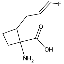 NC1(C(=O)O)CCC1CC=CF